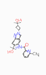 CC(C)(O)c1cc2nn([C@H]3C[C@H](C(C)(C)O)C3)cc2cc1NC(=O)c1cccc(C#N)n1